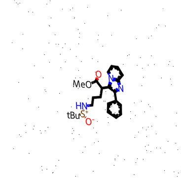 COC(=O)C(CCCN[S+]([O-])C(C)(C)C)c1c(-c2ccccc2)nc2ccccn12